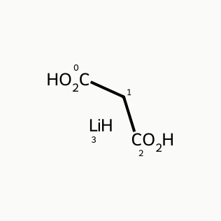 O=C(O)CC(=O)O.[LiH]